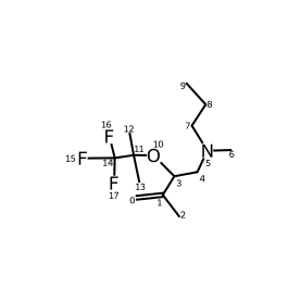 C=C(C)C(CN(C)CCC)OC(C)(C)C(F)(F)F